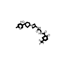 Cc1ccc([C@]2(O)CC[C@H](N3CC(NC(=O)CNC(=O)c4cc(C(F)(F)F)ccc4Cl)C3)CC2)cn1